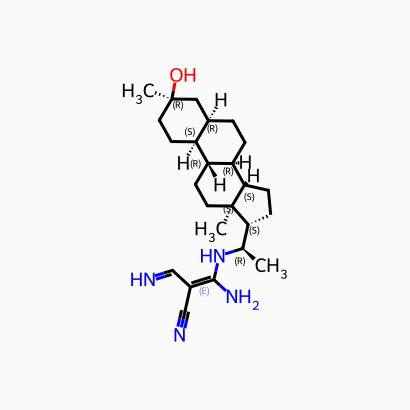 C[C@@H](N/C(N)=C(/C#N)C=N)[C@H]1CC[C@H]2[C@@H]3CC[C@@H]4C[C@](C)(O)CC[C@@H]4[C@H]3CC[C@]12C